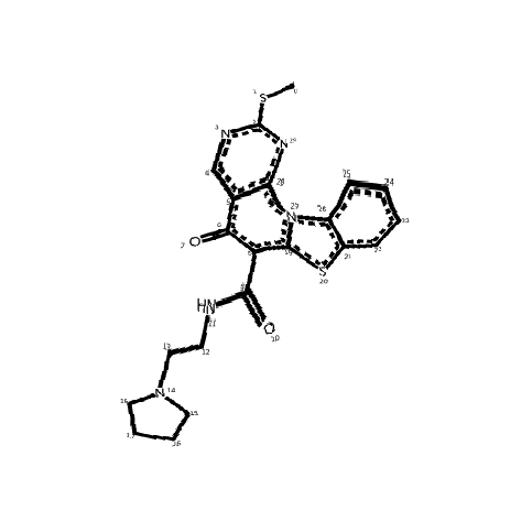 CSc1ncc2c(=O)c(C(=O)NCCN3CCCC3)c3sc4ccccc4n3c2n1